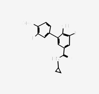 Cc1c(F)cc(C(=O)NC2CC2)cc1-c1ccc(C=O)c(F)c1